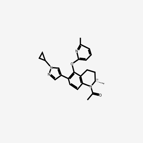 CC(=O)N1c2ccc(-c3cnn(C4CC4)c3)c(Oc3cccc(C)n3)c2CC[C@@H]1C